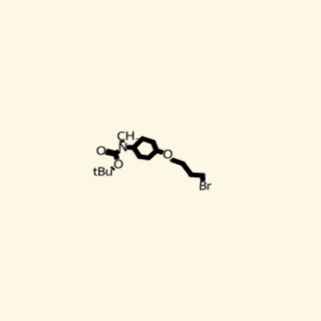 CN(C(=O)OC(C)(C)C)C1CCC(OCCCCBr)CC1